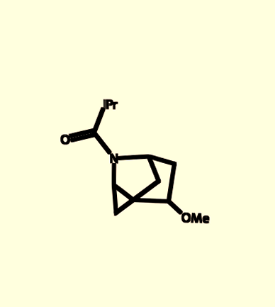 COC1CC2CC13CC3N2C(=O)C(C)C